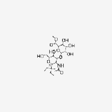 CCC(C)(CC)[C@H]1OC(CO)C(O)C(OC2OC(C(=O)OC)C(O)C(O)C2O)C1NC(C)=O